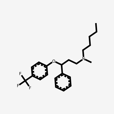 CCCCCN(C)CCC(Oc1ccc(C(F)(F)F)cc1)c1ccccc1